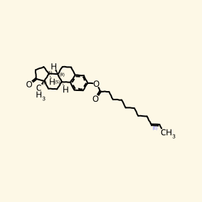 C/C=C/CCCCCCCC(=O)Oc1ccc2c(c1)CC[C@@H]1[C@@H]2CC[C@]2(C)C(=O)CC[C@@H]12